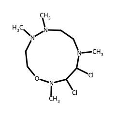 CN1CCN(C)N(C)CCON(C)C(Cl)C1Cl